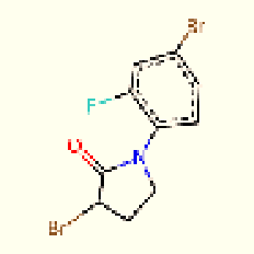 O=C1C(Br)CCN1c1ccc(Br)cc1F